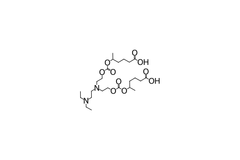 CCN(CC)CCN(CCOC(=O)OC(C)CCCC(=O)O)CCOC(=O)OC(C)CCCC(=O)O